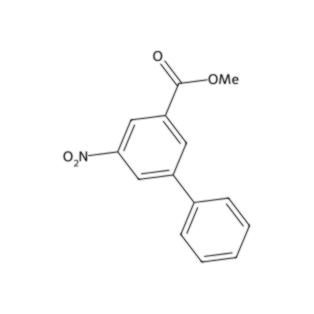 COC(=O)c1cc(-c2ccccc2)cc([N+](=O)[O-])c1